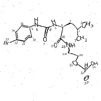 CC(C)C[C@H](NC(=O)Nc1ccc(Br)cc1)C(=O)NCCO[PH](=O)O